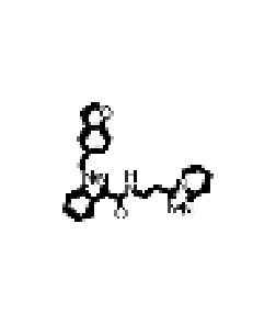 O=C(NCCc1nnc2ccccn12)c1nn(Cc2ccc3occc3c2)c2ccccc12